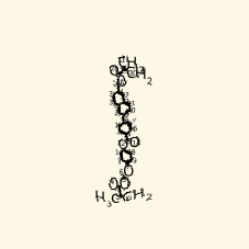 C=C(C)C(=O)OCOc1ccc(OC(=O)c2ccc(-c3ccc4cc(COC(=O)C(=C)C)ccc4c3)cc2)cc1